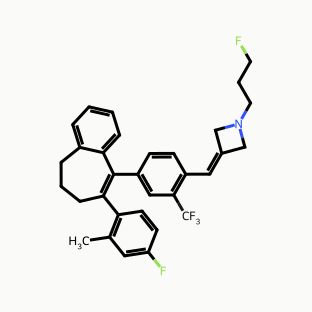 Cc1cc(F)ccc1C1=C(c2ccc(C=C3CN(CCCF)C3)c(C(F)(F)F)c2)c2ccccc2CCC1